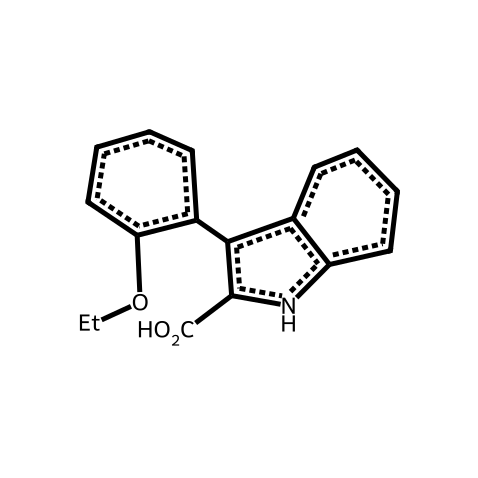 CCOc1ccccc1-c1c(C(=O)O)[nH]c2ccccc12